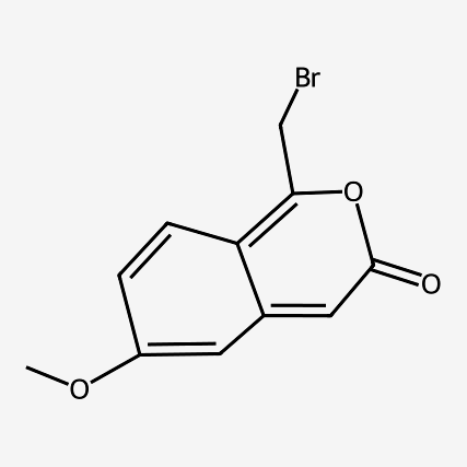 COc1ccc2c(CBr)oc(=O)cc2c1